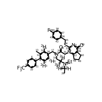 [2H]c1c([2H])c(-c2ccc(C(F)(F)F)cc2)c(C)c([2H])c1CN(CC([2H])([2H])N(CC)C([2H])([2H])C)C(=O)Cn1c(SCc2ccc(F)cc2)nc(=O)c2c1CCC2